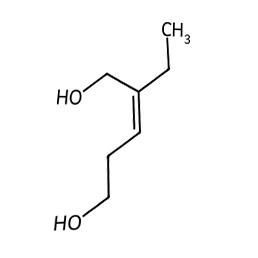 CCC(=CCCO)CO